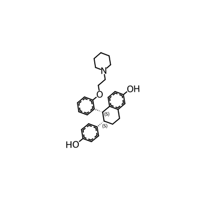 Oc1ccc([C@H]2CCc3cc(O)ccc3[C@H]2c2ccccc2OCCN2CCCCC2)cc1